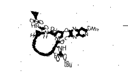 CC[C@@H]1CCCC/C=C\[C@@H]2C[C@@]2(C(=O)NS(=O)(=O)C2CC2)NC(=O)[C@@H]2C[C@@H](Oc3nc4cc(OC)ncc4nc3C(F)(F)F)CN2C(=O)[C@H]1NC(=O)OC(C)(C)C